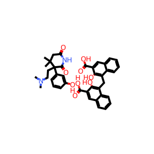 CN(C)CCC1(c2cccc(O)c2)C(=O)NC(=O)CC1(C)C.O=C(O)c1cc2ccccc2c(Cc2c(O)c(C(=O)O)cc3ccccc23)c1O